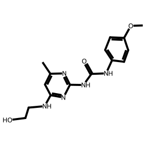 COc1ccc(NC(=O)Nc2nc(C)cc(NCCO)n2)cc1